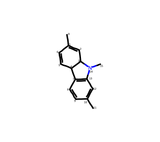 CC1=CC2C(C=C1)c1ccc(C)cc1N2C